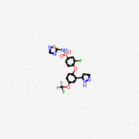 O=S(=O)(Nc1ncns1)c1ccc(Oc2ccc(OC(F)(F)F)cc2-c2ccn[nH]2)c(F)c1